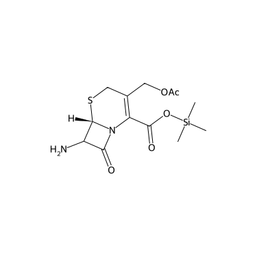 CC(=O)OCC1=C(C(=O)O[Si](C)(C)C)N2C(=O)C(N)[C@@H]2SC1